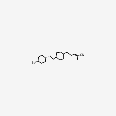 CC[C@H]1CC[C@H](CCC2CCC(CCC=C(F)C#N)CC2)CC1